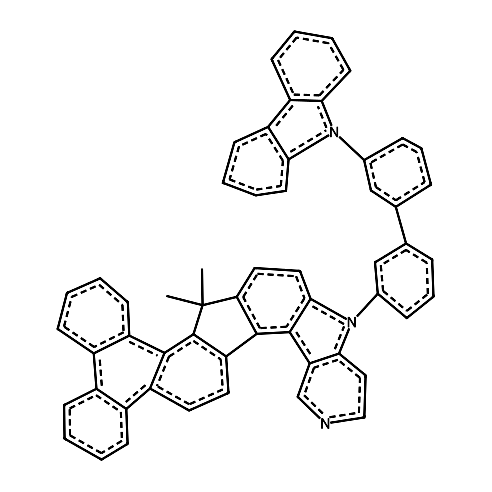 CC1(C)c2ccc3c(c2-c2ccc4c5ccccc5c5ccccc5c4c21)c1cnccc1n3-c1cccc(-c2cccc(-n3c4ccccc4c4ccccc43)c2)c1